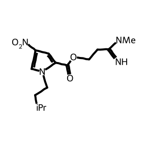 CNC(=N)CCOC(=O)c1cc([N+](=O)[O-])cn1CCC(C)C